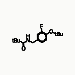 CC(C)(C)Oc1ccc(CNC(=O)C(C)(C)C)cc1F